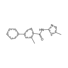 Cc1cnc(NC(=O)c2ccc(-c3ccccc3)cc2C)s1